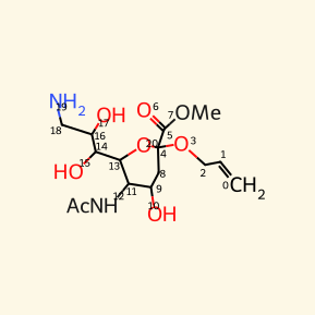 C=CCOC1(C(=O)OC)CC(O)C(NC(C)=O)C(C(O)C(O)CN)O1